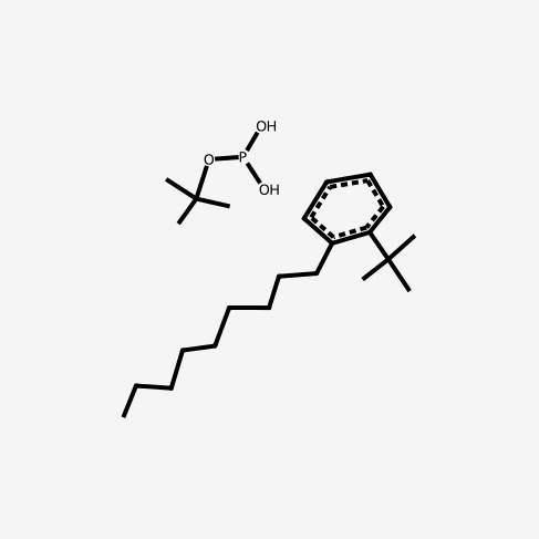 CC(C)(C)OP(O)O.CCCCCCCCCc1ccccc1C(C)(C)C